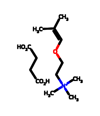 CC(C)=COCC[N+](C)(C)C.O=C(O)CCC(=O)O